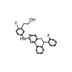 OCCc1cc(Nc2ncc3c(n2)-c2ccccc2C(c2ccccc2F)C3)ccc1F